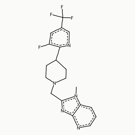 Cn1c(CN2CCC(c3ncc(C(F)(F)F)cc3F)CC2)nc2ncccc21